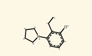 CCc1c(Cl)cccc1N1CCCC1